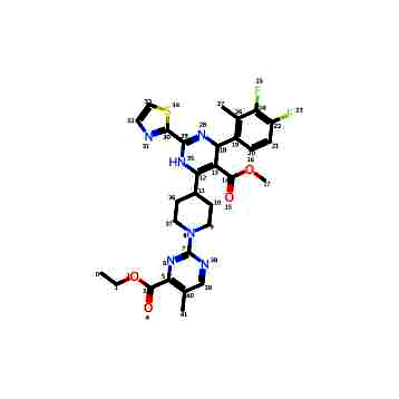 CCOC(=O)c1nc(N2CCC(C3=C(C(=O)OC)C(c4ccc(F)c(F)c4C)N=C(c4nccs4)N3)CC2)ncc1C